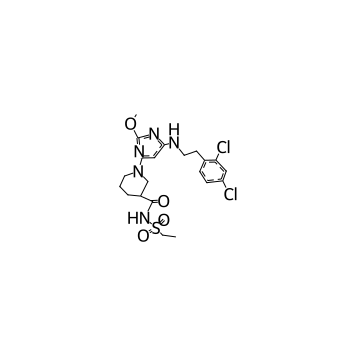 CCS(=O)(=O)NC(=O)C1CCCN(c2cc(NCCc3ccc(Cl)cc3Cl)nc(OC)n2)C1